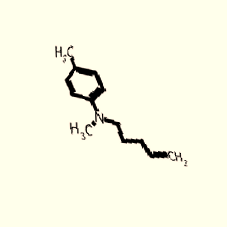 C=CCCCN(C)c1ccc(C)cc1